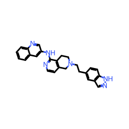 c1ccc2ncc(Nc3nccc4c3CCN(CCc3ccc5[nH]ncc5c3)C4)cc2c1